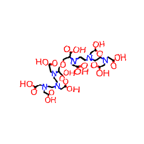 O=C(O)CN(CCN(CC(=O)O)CC(=O)O)CCN(CC(=O)O)C(COCC(C(=O)O)N(CCN(CCN(CC(=O)O)CC(=O)O)CC(=O)O)CC(=O)O)C(=O)O